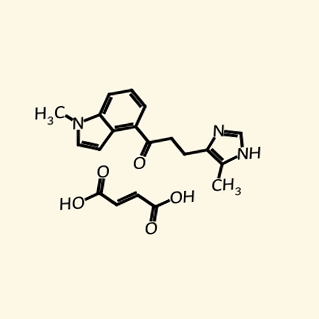 Cc1[nH]cnc1CCC(=O)c1cccc2c1ccn2C.O=C(O)C=CC(=O)O